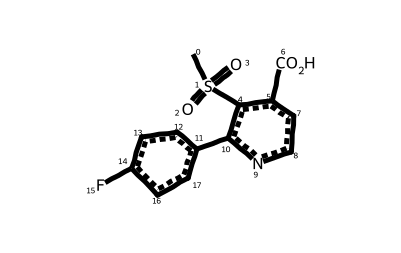 CS(=O)(=O)c1c(C(=O)O)ccnc1-c1ccc(F)cc1